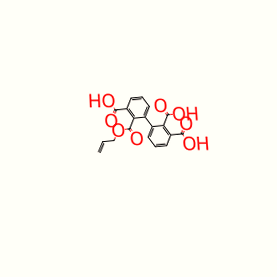 C=CCOC(=O)c1c(C(=O)O)cccc1-c1cccc(C(=O)O)c1C(=O)O